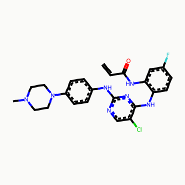 C=CC(=O)Nc1cc(F)ccc1Nc1nc(Nc2ccc(N3CCN(C)CC3)cc2)ncc1Cl